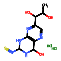 CC(O)C(O)c1cnc2c(n1)NC(N=S)NC2O.Cl.Cl